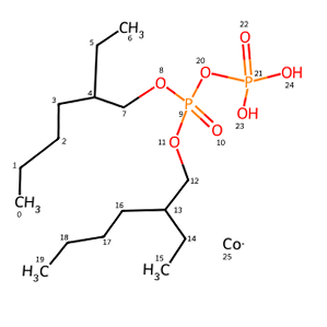 CCCCC(CC)COP(=O)(OCC(CC)CCCC)OP(=O)(O)O.[Co]